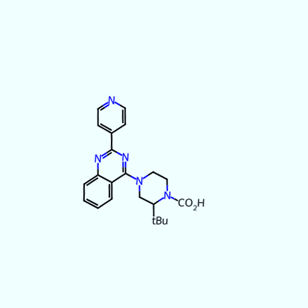 CC(C)(C)C1CN(c2nc(-c3ccncc3)nc3ccccc23)CCN1C(=O)O